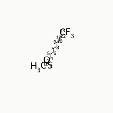 CC(=S)OCCCCCCCCCC(F)(F)F